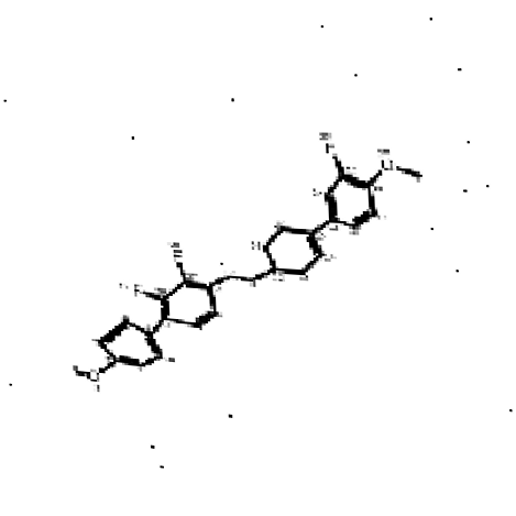 COc1ccc(-c2ccc(CCC3CC=C(c4ccc(OC)c(F)c4)CC3)c(F)c2F)cc1